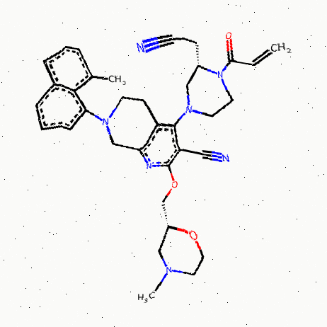 C=CC(=O)N1CCN(c2c(C#N)c(OC[C@H]3CN(C)CCO3)nc3c2CCN(c2cccc4cccc(C)c24)C3)C[C@@H]1CC#N